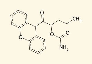 CCCC(OC(N)=O)C(=O)C1c2ccccc2Oc2ccccc21